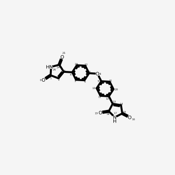 O=C1C=C(c2ccc(Oc3ccc(C4=CC(=O)NC4=O)cc3)cc2)C(=O)N1